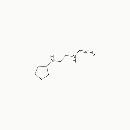 C=CNCCNC1CCCC1